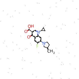 C=C1CCN(c2cc3c(cc2F)c(=O)c(C(=O)O)cn3C2CC2)C1